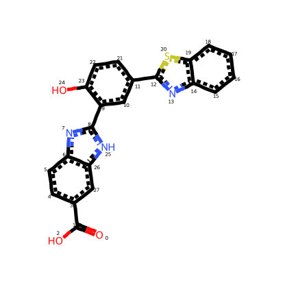 O=C(O)c1ccc2nc(-c3cc(-c4nc5ccccc5s4)ccc3O)[nH]c2c1